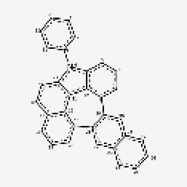 c1ccc(-n2c3cccc4c3c3c5c(cccc5ccc32)-c2cc3ccccc3cc2-4)cc1